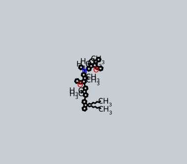 CCCCCCCC1(CCCCCCC)c2ccccc2-c2ccc(-c3ccc4c(c3)C(C)(C)c3cc(-c5cc6c(c7c5oc5ccccc57)-c5ccc(N(c7ccccc7)c7ccc8c(c7)C(C)(C)c7c9c(c%10c(oc%11ccccc%11%10)c7-8)-c7ccccc7C9(C)C)cc5C6(C)C)ccc3-4)cc21